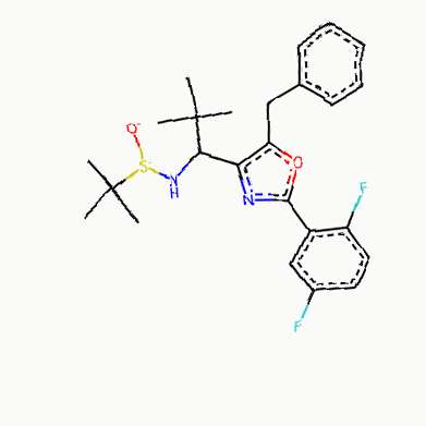 CC(C)(C)C(N[S+]([O-])C(C)(C)C)c1nc(-c2cc(F)ccc2F)oc1Cc1ccccc1